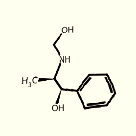 C[C@@H](NCO)[C@H](O)c1ccccc1